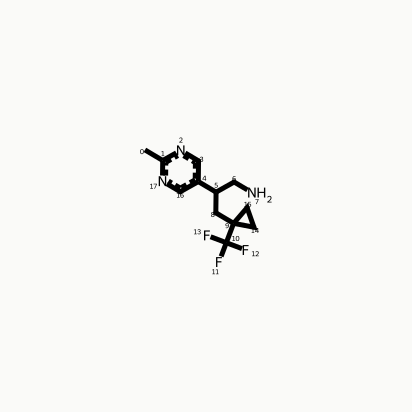 Cc1ncc(C(CN)CC2(C(F)(F)F)CC2)cn1